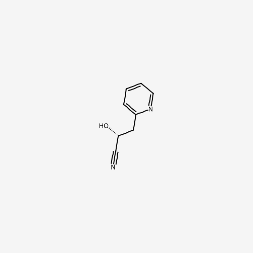 N#C[C@H](O)Cc1ccccn1